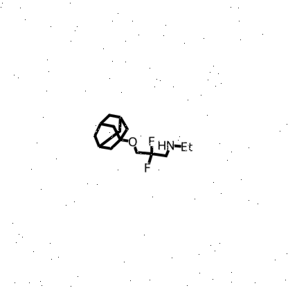 CCNCC(F)(F)COC12CC3CC(CC(C3)C1)C2